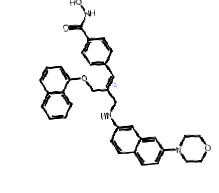 O=C(NO)c1ccc(/C=C(/CNc2ccc3ccc(N4CCOCC4)cc3c2)COc2cccc3ccccc23)cc1